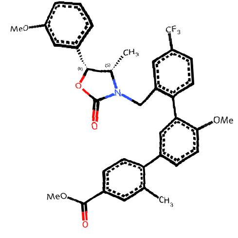 COC(=O)c1ccc(-c2ccc(OC)c(-c3ccc(C(F)(F)F)cc3CN3C(=O)O[C@H](c4cccc(OC)c4)[C@@H]3C)c2)c(C)c1